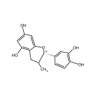 CC1Cc2c(O)cc(O)cc2O[C@@H]1c1ccc(O)c(O)c1